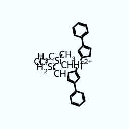 C1=[C]([Hf+2][C]2=CC(c3ccccc3)=CC2)CC=C1c1ccccc1.C[SiH2][Si](C)(C)C.[Cl-].[Cl-]